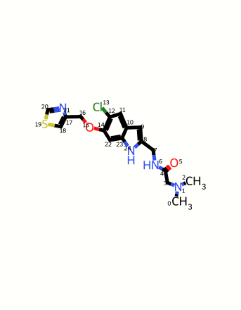 CN(C)CC(=O)NCc1cc2cc(Cl)c(OCc3cscn3)cc2[nH]1